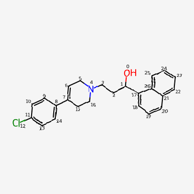 OC(CCN1CC=C(c2ccc(Cl)cc2)CC1)c1cccc2ccccc12